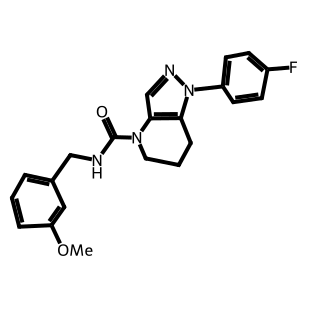 COc1cccc(CNC(=O)N2CCCc3c2cnn3-c2ccc(F)cc2)c1